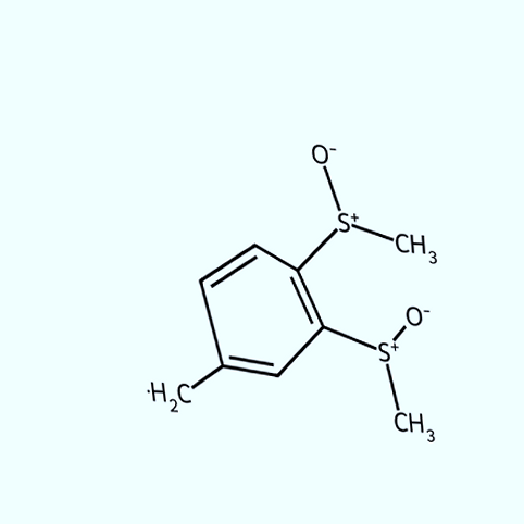 [CH2]c1ccc([S+](C)[O-])c([S+](C)[O-])c1